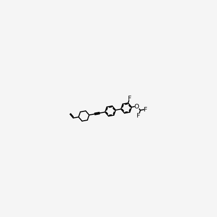 C=CC1CCC(C#Cc2ccc(-c3ccc(OC(F)F)c(F)c3)cc2)CC1